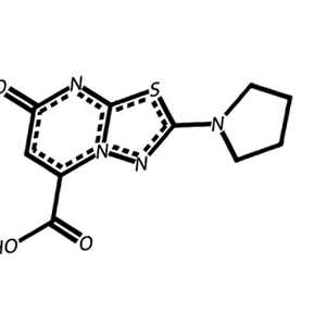 O=C(O)c1cc(=O)nc2sc(N3CCCC3)nn12